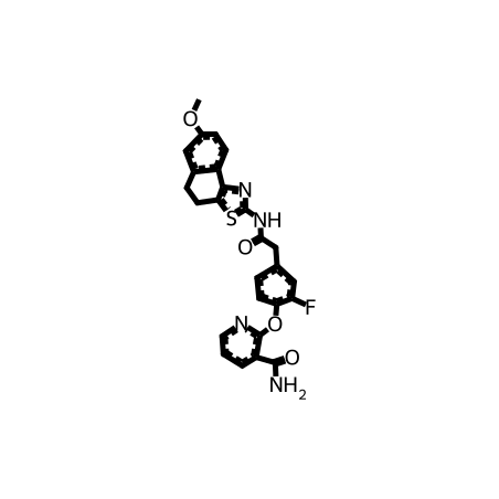 COc1ccc2c(c1)CCc1sc(NC(=O)Cc3ccc(Oc4ncccc4C(N)=O)c(F)c3)nc1-2